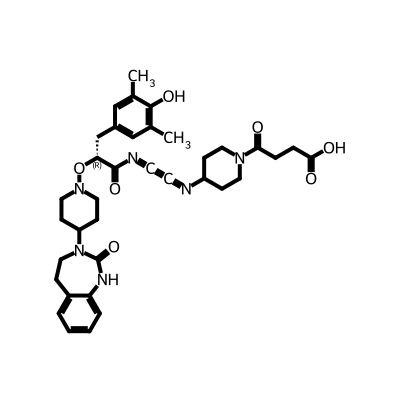 Cc1cc(C[C@@H](ON2CCC(N3CCc4ccccc4NC3=O)CC2)C(=O)N=C=C=NC2CCN(C(=O)CCC(=O)O)CC2)cc(C)c1O